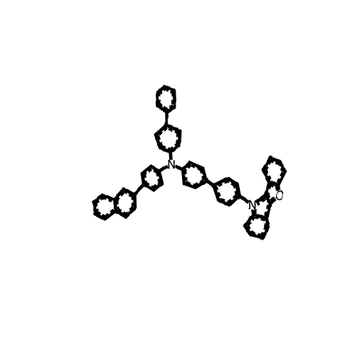 c1ccc(-c2ccc(N(c3ccc(-c4ccc(-n5c6ccccc6c6oc7ccccc7c65)cc4)cc3)c3ccc(-c4ccc5ccccc5c4)cc3)cc2)cc1